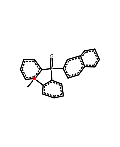 COc1ccccc1P(=O)(c1ccccc1)c1ccc2ccccc2c1